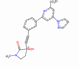 CCOC(=O)c1cc(-n2cccn2)cc(-c2cccc(C#C[C@]3(O)CCN(C)C3=O)c2)n1